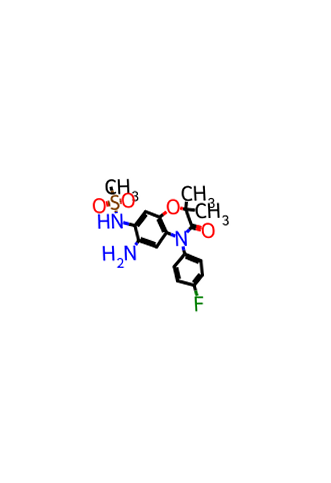 CC1(C)Oc2cc(NS(C)(=O)=O)c(N)cc2N(c2ccc(F)cc2)C1=O